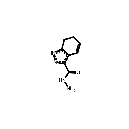 NNC(=O)c1n[nH]c2c1C=CCC2